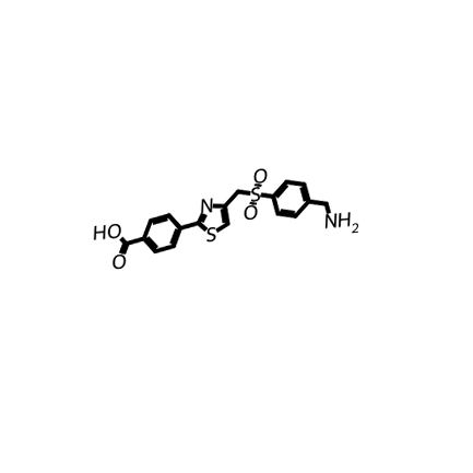 NCc1ccc(S(=O)(=O)Cc2csc(-c3ccc(C(=O)O)cc3)n2)cc1